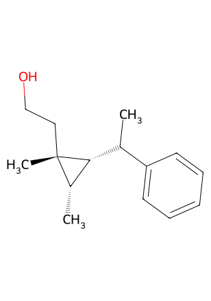 CC(c1ccccc1)[C@@H]1[C@H](C)[C@]1(C)CCO